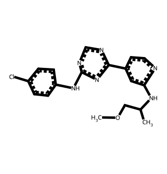 COCC(C)Nc1cc(-c2ncnc(Nc3ccc(Cl)cc3)n2)ccn1